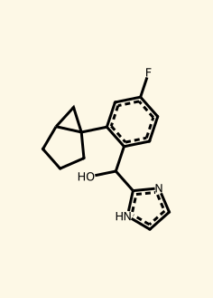 OC(c1ncc[nH]1)c1ccc(F)cc1C12CCCC1C2